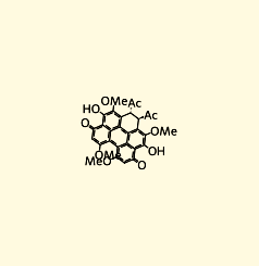 COc1c(O)c2c(=O)cc(OC)c3c4c(OC)cc(=O)c5c(O)c(OC)c6c(c(c1[C@H](C(C)=O)[C@H]6C(C)=O)c23)c54